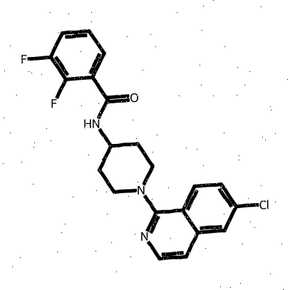 O=C(NC1CCN(c2nccc3cc(Cl)ccc23)CC1)c1cccc(F)c1F